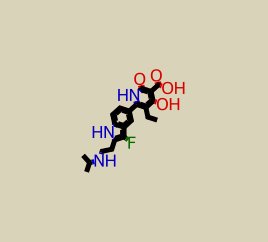 CCc1c(-c2ccc3[nH]c(CCNC(C)C)c(F)c3c2)[nH]c(=O)c(C(=O)O)c1O